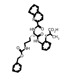 CC(Sc1ccccc1NC(=O)[C@H](CCCNC(=O)OCc1ccccc1)NC(=O)c1ccc2ccccc2n1)C(=O)O